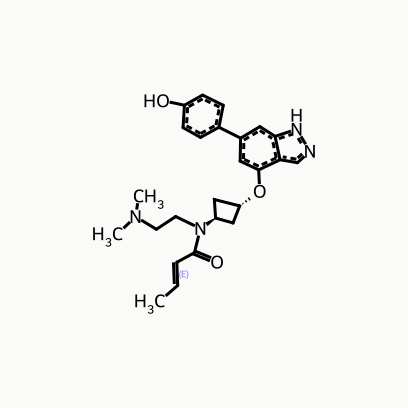 C/C=C/C(=O)N(CCN(C)C)[C@H]1C[C@H](Oc2cc(-c3ccc(O)cc3)cc3[nH]ncc23)C1